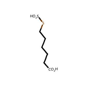 O=C(O)CCCCCSS(=O)(=O)O